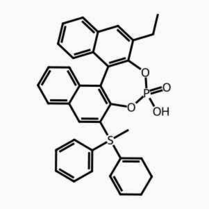 CCc1cc2ccccc2c2c1OP(=O)(O)Oc1c(S(C)(C3=CCCC=C3)c3ccccc3)cc3ccccc3c1-2